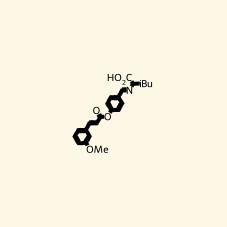 CCC(C)C(/N=C/c1ccc(OC(=O)/C=C/c2cccc(OC)c2)cc1)C(=O)O